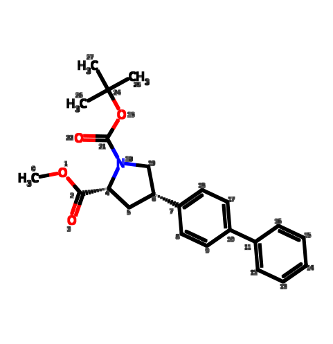 COC(=O)[C@H]1C[C@@H](c2ccc(-c3ccccc3)cc2)CN1C(=O)OC(C)(C)C